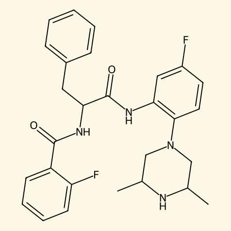 CC1CN(c2ccc(F)cc2NC(=O)C(Cc2ccccc2)NC(=O)c2ccccc2F)CC(C)N1